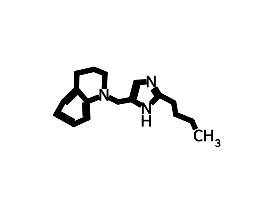 CCCCc1ncc(CN2CCCc3ccccc32)[nH]1